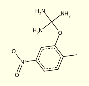 Cc1ccc([N+](=O)[O-])cc1OC(N)(N)N